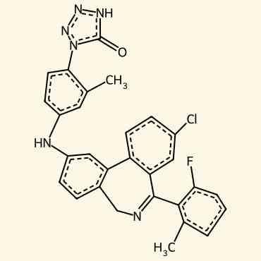 Cc1cc(Nc2ccc3c(c2)-c2ccc(Cl)cc2C(c2c(C)cccc2F)=NC3)ccc1-n1nn[nH]c1=O